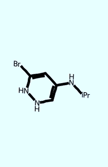 CC(C)NC1=CNNC(Br)=C1